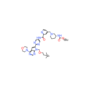 CC(C)(C)OC(=O)N[C@@H]1CCCN(Cc2ccnc(C(=O)Nc3cnc(-c4cc5c(N6CCOCC6)ncnc5n4COCC[Si](C)(C)C)nc3)c2)C1